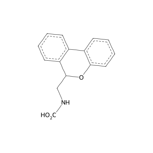 O=C(O)NCC1Oc2ccccc2-c2ccccc21